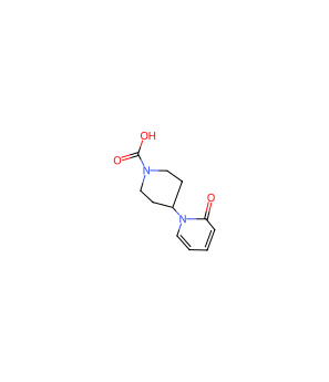 O=C(O)N1CCC(n2ccccc2=O)CC1